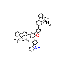 CC1(C)c2ccccc2-c2ccc(-c3ccc4oc5c(-c6ccc7[nH]c8ccccc8c7c6)cc(-c6ccc7c(c6)C(C)(C)c6ccccc6-7)cc5c4c3)cc21